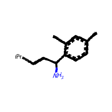 Cc1ccc(C(N)CCC(C)C)c(C)c1